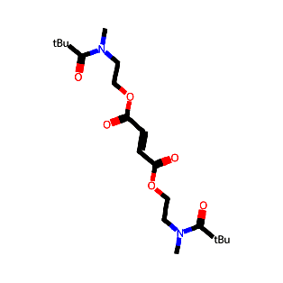 CN(CCOC(=O)/C=C/C(=O)OCCN(C)C(=O)C(C)(C)C)C(=O)C(C)(C)C